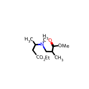 CCOC(=O)CC(C)N(C)CC(C)C(=O)OC